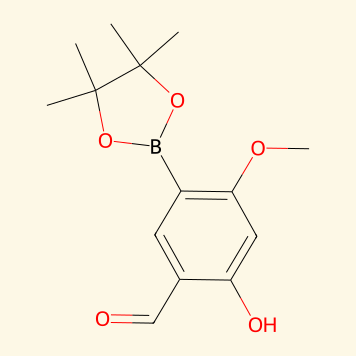 COc1cc(O)c(C=O)cc1B1OC(C)(C)C(C)(C)O1